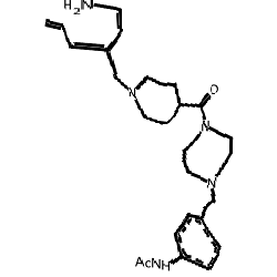 C=C/C=C(\C=C/N)CN1CCC(C(=O)N2CCN(Cc3ccc(NC(C)=O)cc3)CC2)CC1